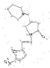 O=C1OC(CN2CCOCC2)CN1N=Cc1ccc([N+](=O)[O-])o1